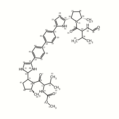 COC(=O)NC(C(=O)N1C(C2NC=C(c3ccc(-c4ccc(-c5cnc([C@@H]6CC[C@H](C)N6C(=O)C(NC=O)C(C)C)[nH]5)cc4)cc3)N2)CC[C@@H]1C)C(C)C